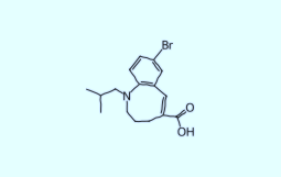 CC(C)CN1CCCC(C(=O)O)=Cc2cc(Br)ccc21